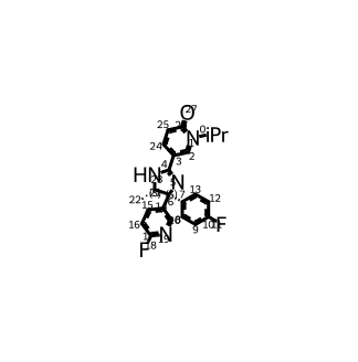 CC(C)n1cc(C2=N[C@@](c3ccc(F)cc3)(c3ccc(F)nc3)[C@H](C)N2)ccc1=O